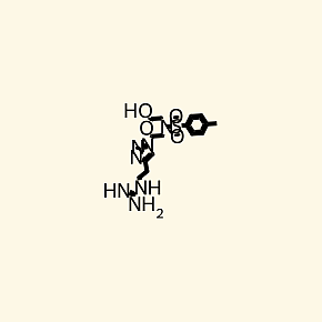 Cc1ccc(S(=O)(=O)N(CCn2cc(CCNC(=N)N)nn2)CC(=O)O)cc1